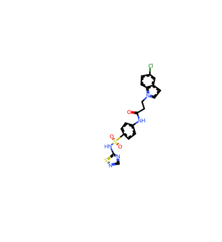 O=C(CCn1ccc2cc(Cl)ccc21)Nc1ccc(S(=O)(=O)Nc2ncns2)cc1